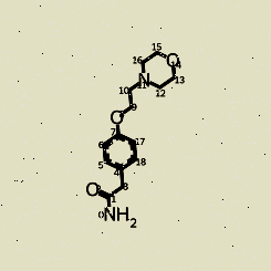 NC(=O)Cc1ccc(OCCN2CCOCC2)cc1